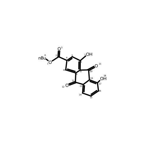 CCCCOC(=O)c1cc(O)c2c(c1)C(=O)c1cccc(O)c1C2=O